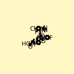 Cc1cc(C(=O)O)nn1-c1cccc2c1CCN(C(=O)/C=C/c1c(-n3cnnn3)ccc(Cl)c1F)C2C(=O)Nc1ccc(F)cc1